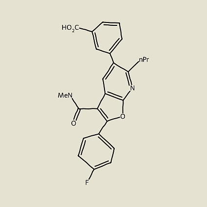 CCCc1nc2oc(-c3ccc(F)cc3)c(C(=O)NC)c2cc1-c1cccc(C(=O)O)c1